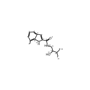 Cc1cccc2cc(C(=O)NCC(O)C(F)F)[nH]c12